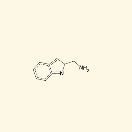 NCC1C=c2ccccc2=N1